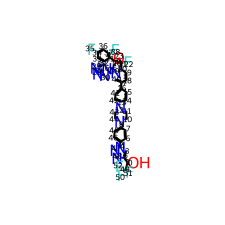 OC(c1cn(-c2ccc(N3CCN(c4ccc(-c5ccc(C6(F)O[C@@]6(Cn6cnnn6)c6ccc(F)cc6F)nc5)cc4)CC3)cc2)nn1)C(F)(F)F